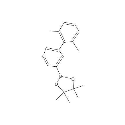 Cc1cccc(C)c1-c1cncc(B2OC(C)(C)C(C)(C)O2)c1